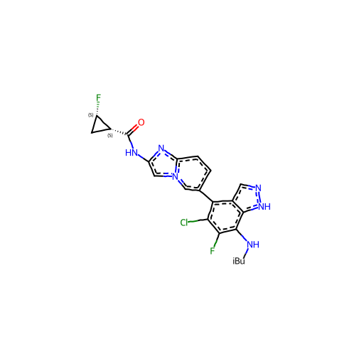 CCC(C)Nc1c(F)c(Cl)c(-c2ccc3nc(NC(=O)[C@@H]4C[C@@H]4F)cn3c2)c2cn[nH]c12